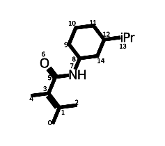 CC(C)=C(C)C(=O)NC1CCCC(C(C)C)C1